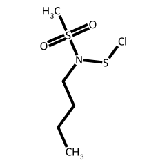 CCCCN(SCl)S(C)(=O)=O